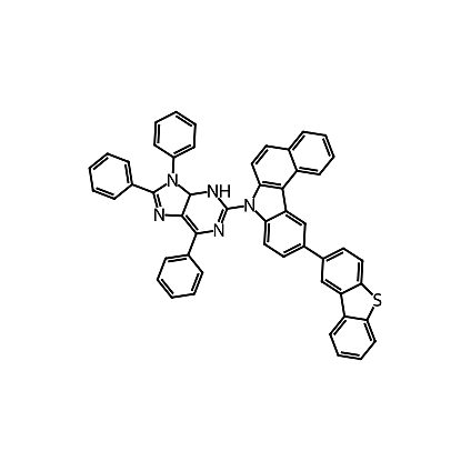 c1ccc(C2=NC3=C(c4ccccc4)N=C(n4c5ccc(-c6ccc7sc8ccccc8c7c6)cc5c5c6ccccc6ccc54)NC3N2c2ccccc2)cc1